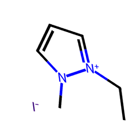 CC[n+]1cccn1C.[I-]